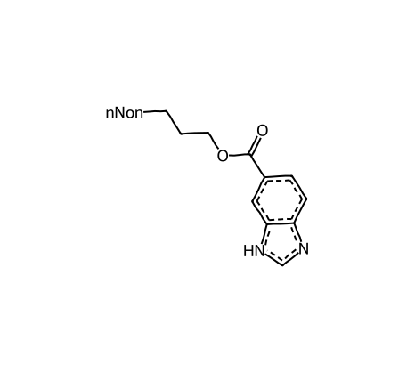 CCCCCCCCCCCCOC(=O)c1ccc2nc[nH]c2c1